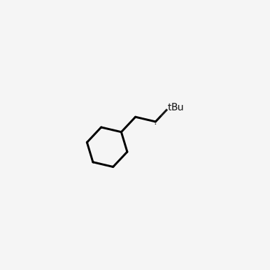 CC(C)(C)[CH]CC1CCCCC1